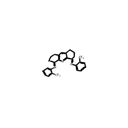 FC(F)(F)c1ccccc1N=C1CCCc2cc3c(nc21)C(=Nc1ccccc1C(F)(F)F)CCC3